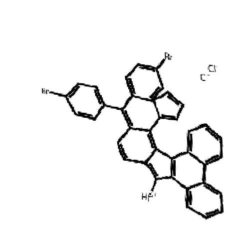 Brc1ccc(C(c2ccc(Br)cc2)=c2ccc3c(c2C2=CC=CC2)-c2c(c4ccccc4c4ccccc24)[C]=3[Hf+2])cc1.[Cl-].[Cl-]